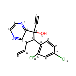 C#CC(O)(c1cnccn1)C(CC=C)c1ccc(Cl)cc1Cl